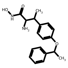 CC(Oc1ccc(C(C)C(N)C(=O)NO)cc1)c1ccccc1